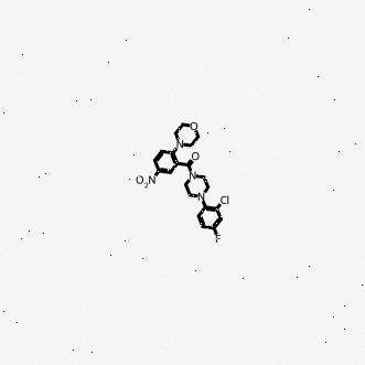 O=C(c1cc([N+](=O)[O-])ccc1N1CCOCC1)N1CCN(c2ccc(F)cc2Cl)CC1